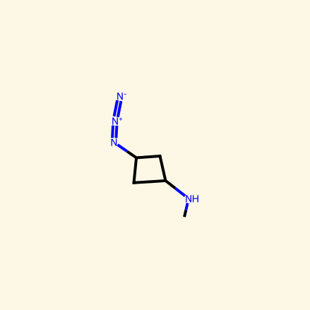 CNC1CC(N=[N+]=[N-])C1